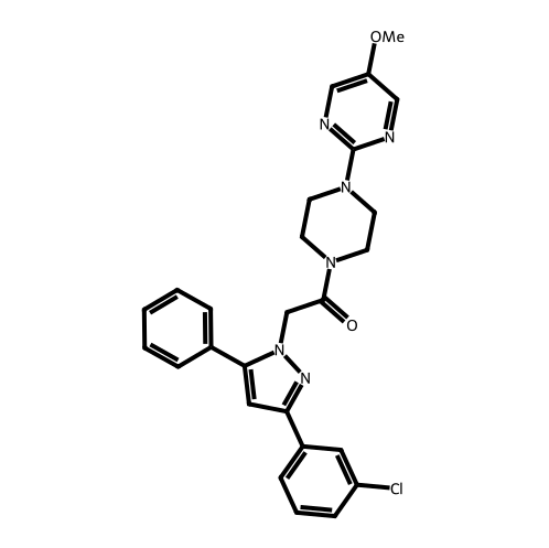 COc1cnc(N2CCN(C(=O)Cn3nc(-c4cccc(Cl)c4)cc3-c3ccccc3)CC2)nc1